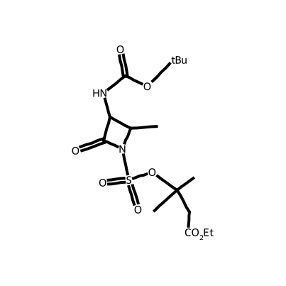 CCOC(=O)CC(C)(C)OS(=O)(=O)N1C(=O)C(NC(=O)OC(C)(C)C)C1C